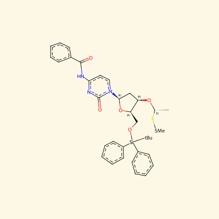 CSS[C@@H](C)O[C@@H]1C[C@H](n2ccc(NC(=O)c3ccccc3)nc2=O)O[C@@H]1CO[Si](c1ccccc1)(c1ccccc1)C(C)(C)C